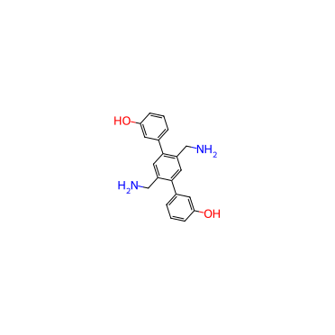 NCc1cc(-c2cccc(O)c2)c(CN)cc1-c1cccc(O)c1